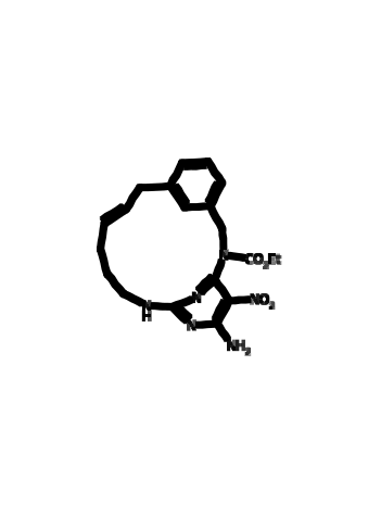 CCOC(=O)N1Cc2cccc(c2)C/C=C/CCCNc2nc(N)c([N+](=O)[O-])c1n2